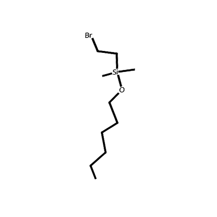 CCCCCCO[Si](C)(C)CCBr